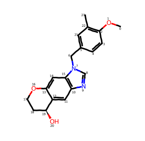 COc1ccc(Cn2cnc3cc4c(cc32)OCC[C@@H]4O)cc1C